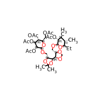 CC[C@H]1O[C@@H](OC[C@@H]2OCO[C@H]2[C@H]2OC(C)(C)O[C@@H]2CO[C@@H]2O[C@H](COC(C)=O)[C@@H](OC(C)=O)[C@H](OC(C)=O)[C@H]2OC(C)=O)[C@H](OC(C)=O)[C@@H](C)[C@@H]1C